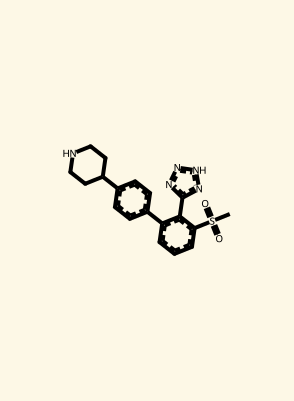 CS(=O)(=O)c1cccc(-c2ccc(C3CCNCC3)cc2)c1-c1nn[nH]n1